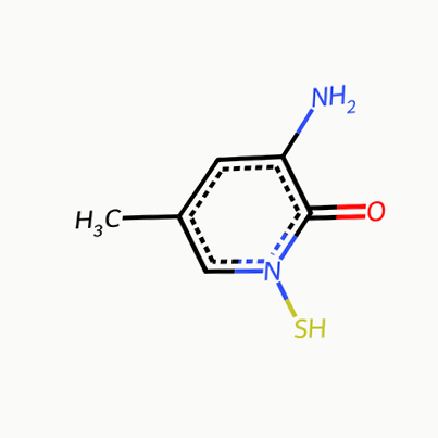 Cc1cc(N)c(=O)n(S)c1